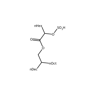 CCCCCCCCCCC(CCCCCCCC)COC(=O)C(CCCCCC)OS(=O)(=O)O